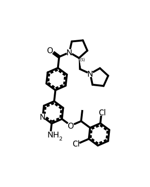 CC(Oc1cc(-c2ccc(C(=O)N3CCC[C@H]3CN3CCCC3)cc2)cnc1N)c1c(Cl)cccc1Cl